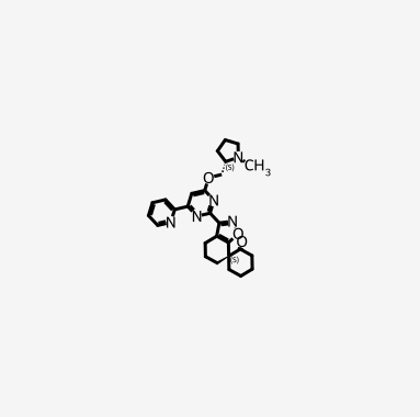 CN1CCC[C@H]1COc1cc(-c2ccccn2)nc(-c2noc3c2CCC[C@@]32CCCCC2=O)n1